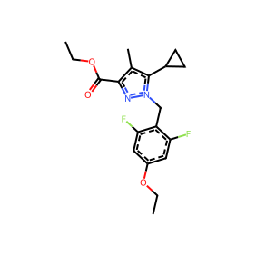 CCOC(=O)c1nn(Cc2c(F)cc(OCC)cc2F)c(C2CC2)c1C